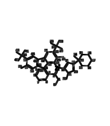 CC/[C](c1ccccc1)=[Zr](\[C]1=CC(C2(C)CCCCC2)=CC1C)[c]1c(C)c(C(C)(C)C)cc2c1Cc1cc(C)c(C(C)(C)C)cc1-2